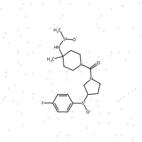 C[S+]([O-])NC1(C)CCN(C(=O)N2CCC([S+]([O-])c3ccc(F)cc3)C2)CC1